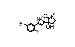 CN1CCC(O)(c2cc(-c3cc(Br)ccc3F)no2)C1=O